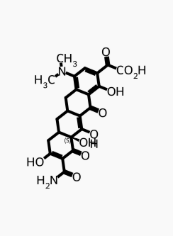 CN(C)c1cc(C(=O)C(=O)O)c(O)c2c1CC1CC3CC(O)=C(C(N)=O)C(=O)[C@@]3(O)C(O)=C1C2=O